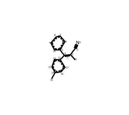 C/C(C#N)=C(/c1ccccc1)c1ccc(C)cc1